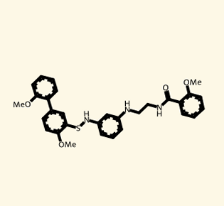 COc1ccc(-c2ccccc2OC)cc1SNc1cccc(NCCNC(=O)c2ccccc2OC)c1